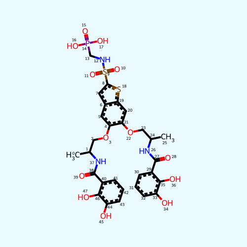 CC(COc1cc2cc(S(=O)(=O)NCP(=O)(O)O)sc2cc1OCC(C)NC(=O)c1cccc(O)c1O)NC(=O)c1cccc(O)c1O